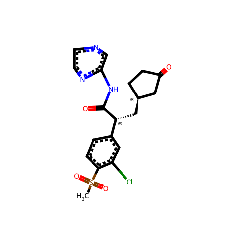 CS(=O)(=O)c1ccc([C@@H](C[C@H]2CCC(=O)C2)C(=O)Nc2cnccn2)cc1Cl